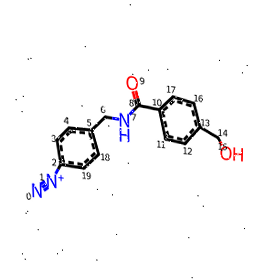 N#[N+]c1ccc(CNC(=O)c2ccc(CO)cc2)cc1